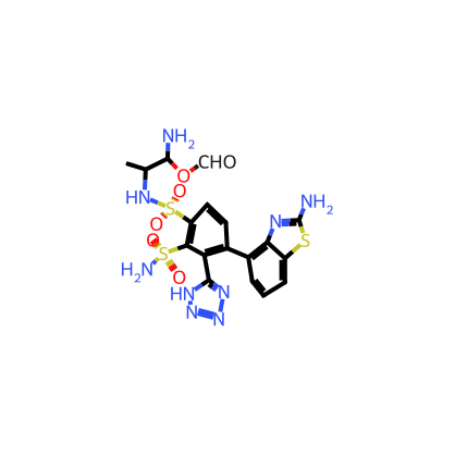 CC(NS(=O)(=O)c1ccc(-c2cccc3sc(N)nc23)c(-c2nnn[nH]2)c1S(N)(=O)=O)C(N)OC=O